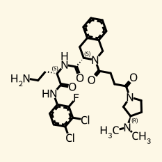 CN(C)[C@@H]1CCN(C(=O)CCC(=O)N2Cc3ccccc3C[C@H]2C(=O)N[C@@H](CCN)C(=O)Nc2ccc(Cl)c(Cl)c2F)C1